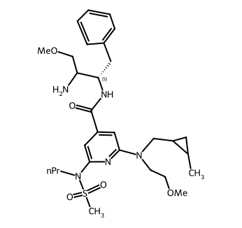 CCCN(c1cc(C(=O)N[C@@H](Cc2ccccc2)C(N)COC)cc(N(CCOC)CC2CC2C)n1)S(C)(=O)=O